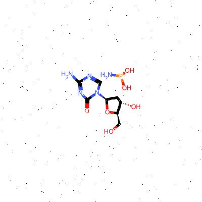 NP(O)O.Nc1ncn([C@H]2C[C@H](O)[C@@H](CO)O2)c(=O)n1